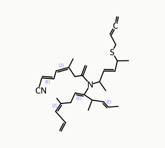 C=C=CCSC(C)C=CC(C)N(C(=C)C/C(C)=C\C=C\C#N)/C(=C/C/C(C)=C\C=C)C(C)/C=C/C